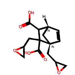 O=C(O)C1[C@@H]2C=C[C@@](CC3CO3)(C2)C1(CC1CO1)C(=O)O